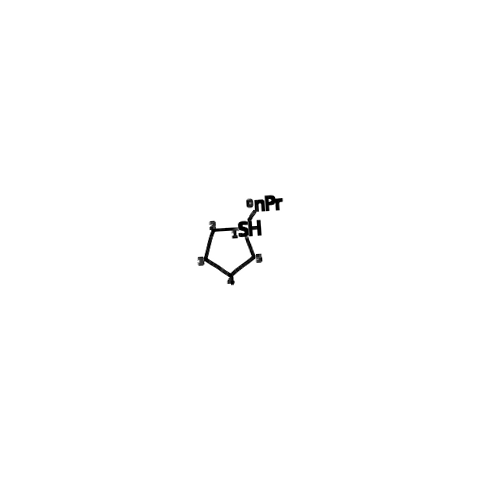 CCC[SH]1CCCC1